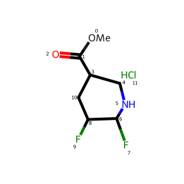 COC(=O)C1CNC(F)C(F)C1.Cl